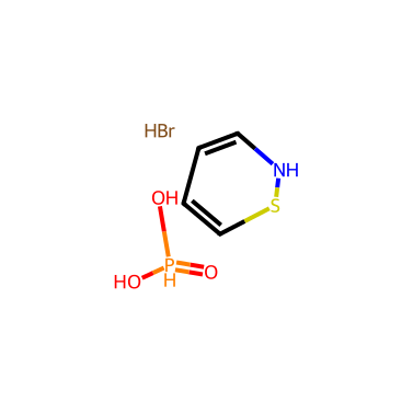 Br.C1=CNSC=C1.O=[PH](O)O